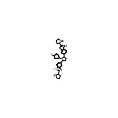 Fc1ccc(N2C(c3ccc4[nH]c(C5CCCN5)nc4c3)CCC2c2ccc3[nH]c(C4CCCN4)nc3c2)cc1